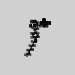 NC(CO)(CCc1ccc(OCCCC/C=C/I)cc1)COP(=O)(O)O